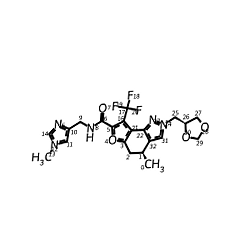 C[C@H]1Cc2oc(C(=O)NCc3cn(C)cn3)c(C(F)(F)F)c2-c2nn(C[C@H]3COCO3)cc21